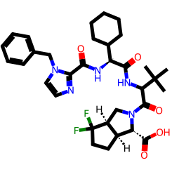 CC(C)(C)C(NC(=O)[C@@H](NC(=O)c1nccn1Cc1ccccc1)C1CCCCC1)C(=O)N1C[C@H]2[C@H](CCC2(F)F)[C@H]1C(=O)O